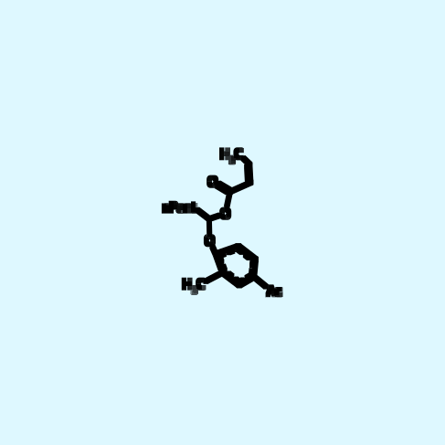 C/C=C\C(=O)OC(CCCCC)Oc1ccc(C(C)=O)cc1C